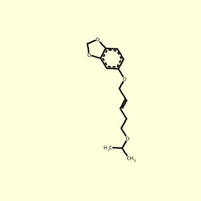 CC(C)OCC/C=C/COc1ccc2c(c1)OCO2